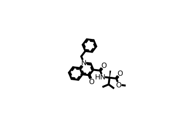 COC(=O)[C@@](C)(NC(=O)c1cn(Cc2ccccc2)c2ccccc2c1=O)C(C)C